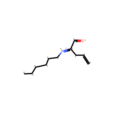 C=CC/C(C=O)=N\CCCCCC